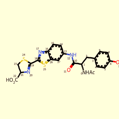 CC(=O)NC(Cc1ccc(O)cc1)C(=O)Nc1ccc2nc(C3=NC(C(=O)O)CS3)sc2c1